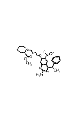 COC(=O)C1CCCCN1CCCCOc1cc2nc(N)nc([C@H](C)c3ccccc3)c2cc1[N+](=O)[O-]